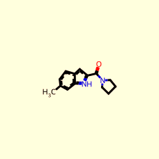 Cc1ccc2cc(C(=O)N3CCCC3)[nH]c2c1